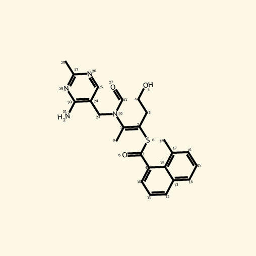 CC(=C(CCO)SC(=O)c1cccc2cccc(C)c12)N(C=O)Cc1cnc(C)nc1N